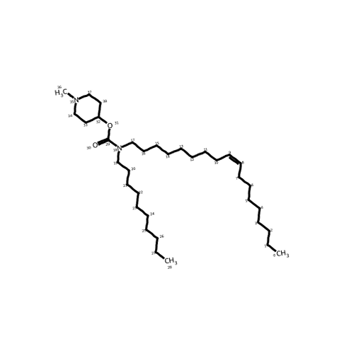 CCCCCCCC/C=C\CCCCCCCCN(CCCCCCCCCC)C(=O)OC1CCN(C)CC1